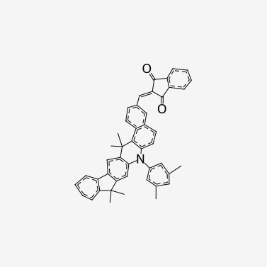 Cc1cc(C)cc(N2c3cc4c(cc3C(C)(C)c3c2ccc2cc(C=C5C(=O)c6ccccc6C5=O)ccc32)-c2ccccc2C4(C)C)c1